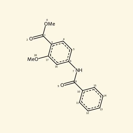 COC(=O)c1ccc(NC(=O)c2ccccc2)cc1OC